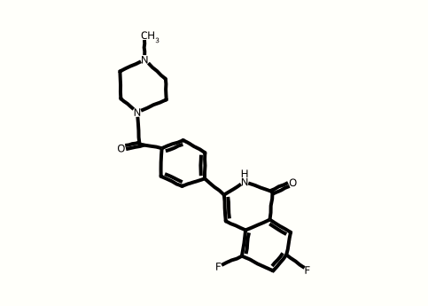 CN1CCN(C(=O)c2ccc(-c3cc4c(F)cc(F)cc4c(=O)[nH]3)cc2)CC1